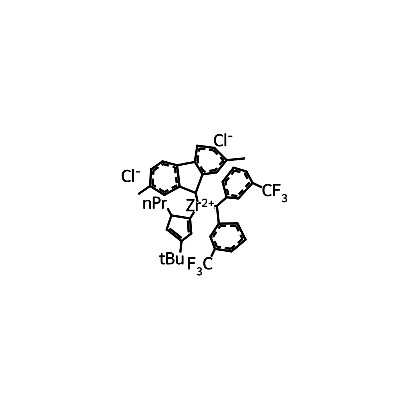 CCCC1C=C(C(C)(C)C)C=[C]1[Zr+2](=[C](c1cccc(C(F)(F)F)c1)c1cccc(C(F)(F)F)c1)[CH]1c2cc(C)ccc2-c2ccc(C)cc21.[Cl-].[Cl-]